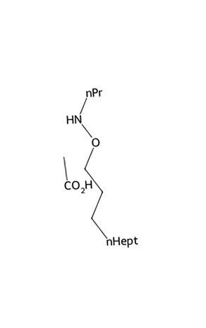 CC(=O)O.CCCCCCCCCCONCCC